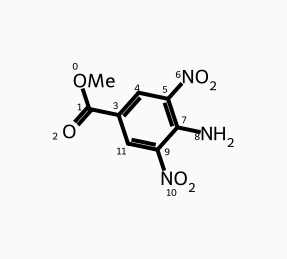 COC(=O)c1cc([N+](=O)[O-])c(N)c([N+](=O)[O-])c1